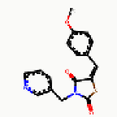 CCOc1ccc(/C=C2/SC(=O)N(Cc3cccnc3)C2=O)cc1